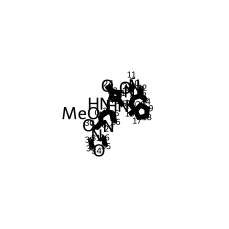 COc1c(Nc2c(N[C@@H](c3nn(C)cc3C)C3(C)CCCC3)c(=O)c2=O)ccnc1C(=O)N1CCOCC1